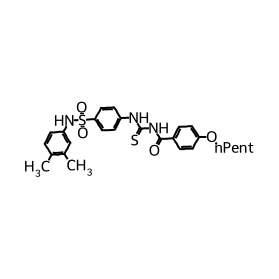 CCCCCOc1ccc(C(=O)NC(=S)Nc2ccc(S(=O)(=O)Nc3ccc(C)c(C)c3)cc2)cc1